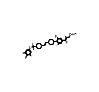 CCCOC/C(F)=C(\F)c1cc(F)c(C2CCC(/C=C/C3CCC(C(F)(F)Oc4cc(F)c(F)c(F)c4)CC3)CC2)c(F)c1